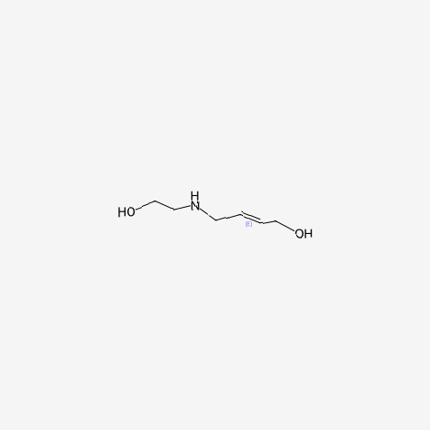 OC/C=C/CNCCO